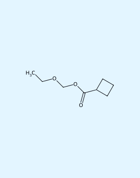 CCOCOC(=O)C1CCC1